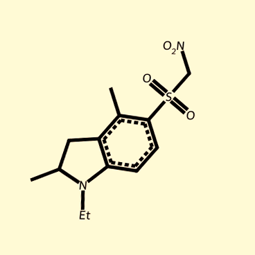 CCN1c2ccc(S(=O)(=O)C[N+](=O)[O-])c(C)c2CC1C